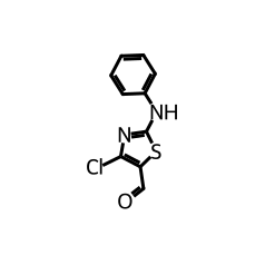 O=Cc1sc(Nc2ccccc2)nc1Cl